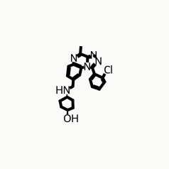 Cc1nc2ccc(CN[C@H]3CC[C@H](O)CC3)cc2n2c(-c3ccccc3Cl)nnc12